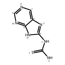 [NH]C(=S)Nc1nc2cncnc2[nH]1